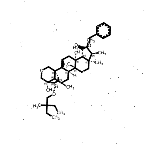 CCC(C)(CC)CO[C@H]1[C@H](C)C[C@@]23COC[C@@]1(C)[C@@H]2CC[C@H]1C3=CC[C@@]2(C)[C@H](C(=O)OCc3ccccc3)[C@@](C)([C@H](C)C(C)C)CC[C@]12C